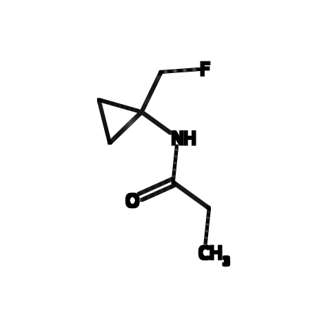 CCC(=O)NC1(CF)CC1